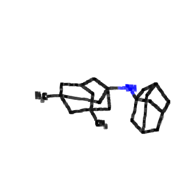 CC12CC3CC(C)(C1)CC(NC14CC5CC(CC(C5)C1)C4)(C3)C2